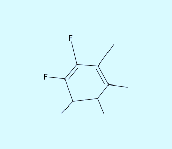 CC1=C(C)C(C)C(C)C(F)=C1F